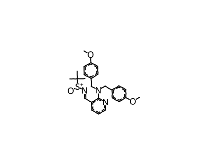 COc1ccc(CN(Cc2ccc(OC)cc2)c2ncccc2/C=N/[S@@+]([O-])C(C)(C)C)cc1